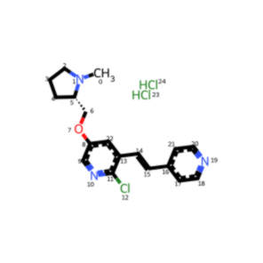 CN1CCC[C@H]1COc1cnc(Cl)c(C=Cc2ccncc2)c1.Cl.Cl